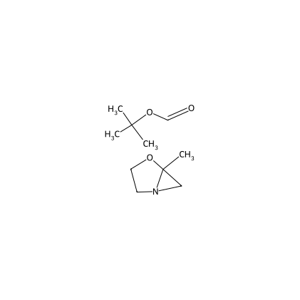 CC(C)(C)OC=O.CC12CN1CCO2